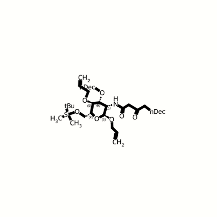 C=CCO[C@H]1O[C@H](CO[Si](C)(C)C(C)(C)C)[C@@H](OCC=C)[C@H](OCCCCCCCCCC)[C@@H]1NC(=O)CC(=O)CCCCCCCCCCC